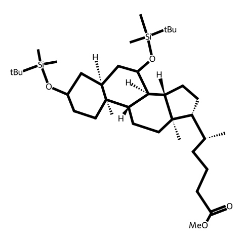 COC(=O)CCC[C@@H](C)[C@H]1CC[C@H]2[C@@H]3C(O[Si](C)(C)C(C)(C)C)C[C@@H]4CC(O[Si](C)(C)C(C)(C)C)CC[C@]4(C)[C@H]3CC[C@]12C